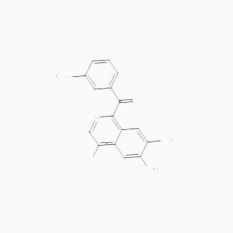 COc1cccc(C(=O)c2ncc(C=O)c3cc(OC)c(OC)cc23)c1